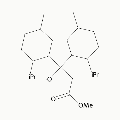 COC(=O)CC([O])(C1CC(C)CCC1C(C)C)C1CC(C)CCC1C(C)C